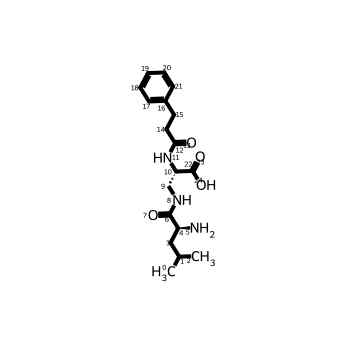 CC(C)C[C@H](N)C(=O)NC[C@H](NC(=O)CCc1ccccc1)C(=O)O